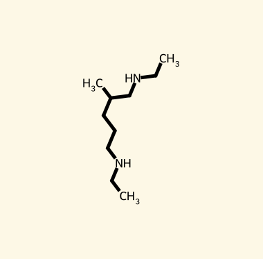 CCNCCCC(C)CNCC